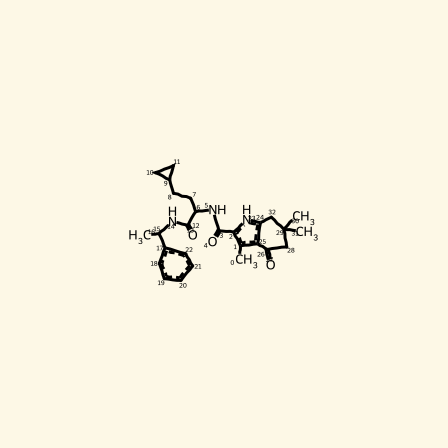 Cc1c(C(=O)NC(CCC2CC2)C(=O)NC(C)c2ccccc2)[nH]c2c1C(=O)CC(C)(C)C2